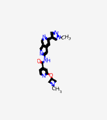 CN1CC(Oc2cc(C(=O)Nc3cc4cc(-c5cnn(C)c5)ncc4cn3)ccn2)C1